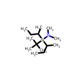 CCC(C)[Si](C(C)CC)(N(C)C)C(C)(C)C